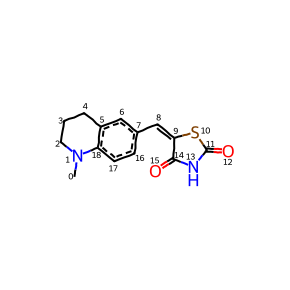 CN1CCCc2cc(C=C3SC(=O)NC3=O)ccc21